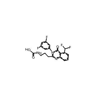 O=C(O)NCCCc1nc2cccc(C(F)F)c2c(=O)n1-c1cc(F)cc(F)c1